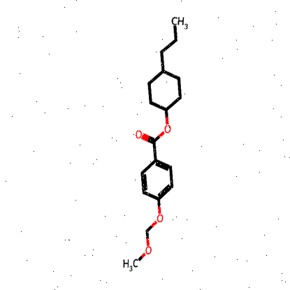 CCCC1CCC(OC(=O)c2ccc(OCOC)cc2)CC1